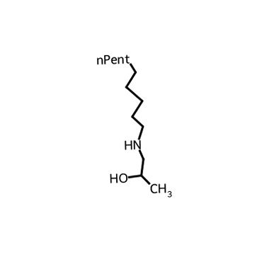 CCCCCCCCCCNCC(C)O